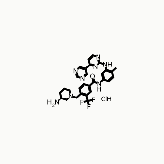 Cc1ccc(NC(=O)c2ccc(CN3CCC[C@H](N)C3)c(C(F)(F)F)c2)cc1Nc1nccc(-c2cncnc2)n1.Cl